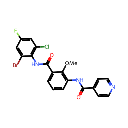 COc1c(NC(=O)c2ccncc2)cccc1C(=O)Nc1c(Cl)cc(F)cc1Br